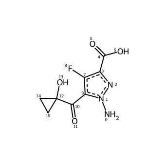 Nn1nc(C(=O)O)c(F)c1C(=O)C1(O)CC1